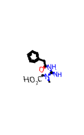 CN(CC(=O)O)C(=N)NC(=O)Cc1ccccc1